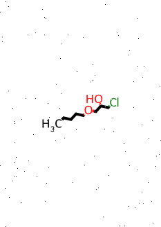 CCCCCOC[C@@H](O)CCl